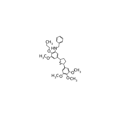 CCCOc1c(NCc2ccccc2)cc(C2CC[C@@H](c3cc(OC)c(OC)c(OC)c3)S2)cc1OC